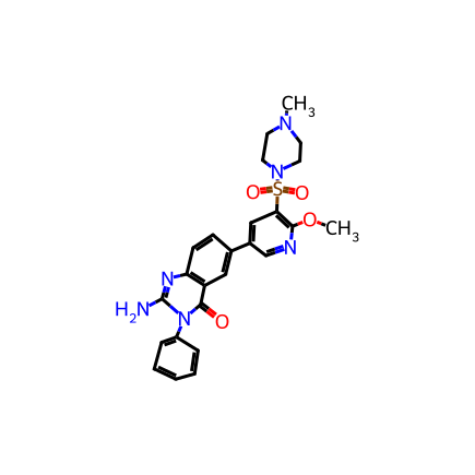 COc1ncc(-c2ccc3nc(N)n(-c4ccccc4)c(=O)c3c2)cc1S(=O)(=O)N1CCN(C)CC1